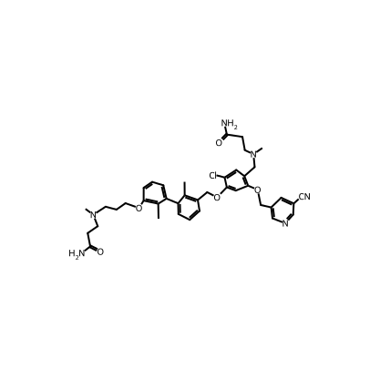 Cc1c(COc2cc(OCc3cncc(C#N)c3)c(CN(C)CCC(N)=O)cc2Cl)cccc1-c1cccc(OCCCN(C)CCC(N)=O)c1C